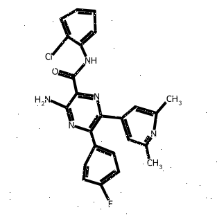 Cc1cc(-c2nc(C(=O)Nc3ccccc3Cl)c(N)nc2-c2ccc(F)cc2)cc(C)n1